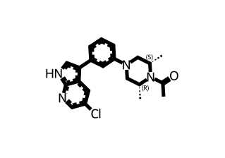 CC(=O)N1[C@H](C)CN(c2cccc(-c3c[nH]c4ncc(Cl)cc34)c2)C[C@@H]1C